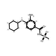 CS(=O)(=O)NC(=O)c1ccc(OC2CCCCC2)c(N)c1